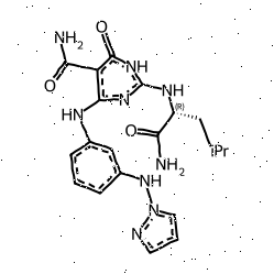 CC(C)C[C@@H](Nc1nc(Nc2cccc(Nn3cccn3)c2)c(C(N)=O)c(=O)[nH]1)C(N)=O